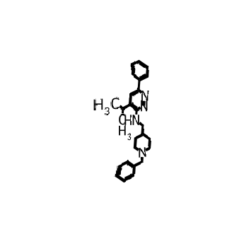 CC(C)c1cc(-c2ccccc2)nnc1NCC1CCN(Cc2ccccc2)CC1